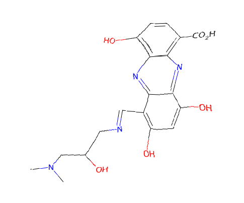 CN(C)CC(O)CN=Cc1c(O)cc(O)c2nc3c(C(=O)O)ccc(O)c3nc12